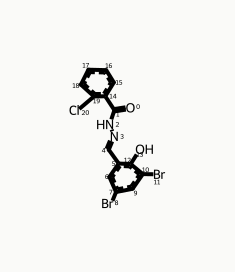 O=C(N/N=C/c1cc(Br)cc(Br)c1O)c1ccccc1Cl